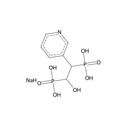 O=P(O)(O)C(O)C(c1cccnc1)P(=O)(O)O.[NaH]